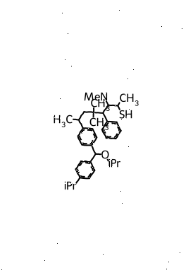 CNC(C(C)S)C(c1ccccc1)C(C)(C)CC(C)c1ccc(C(OC(C)C)c2ccc(C(C)C)cc2)cc1